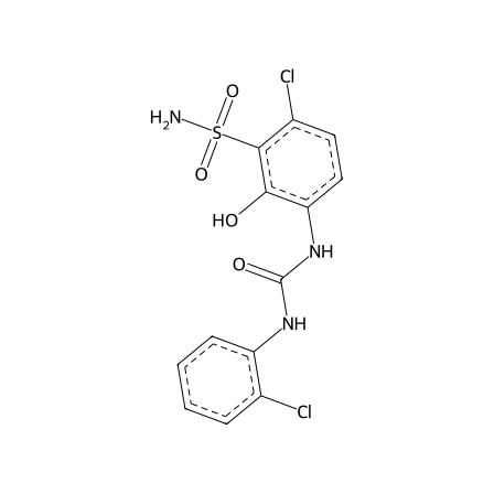 NS(=O)(=O)c1c(Cl)ccc(NC(=O)Nc2ccccc2Cl)c1O